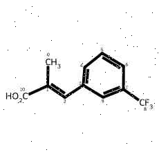 CC(=Cc1cccc(C(F)(F)F)c1)C(=O)O